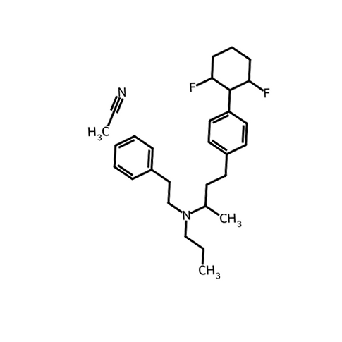 CC#N.CCCN(CCc1ccccc1)C(C)CCc1ccc(C2C(F)CCCC2F)cc1